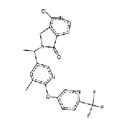 Cc1cc(C(C)N2Cc3c(ccnc3Cl)C2=O)cnc1Oc1ccc(C(F)(F)F)nc1